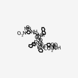 O=C(CCNc1ccc([N+](=O)[O-])c2nonc12)N[C@H](Cc1ccc2ccccc2c1)C(=O)N[C@H](Cc1ccc2ccccc2c1)C(=O)N[C@H](Cc1ccccc1)C(=O)N[C@H](Cc1ccc(OP(=O)(O)O)cc1)C(=O)O